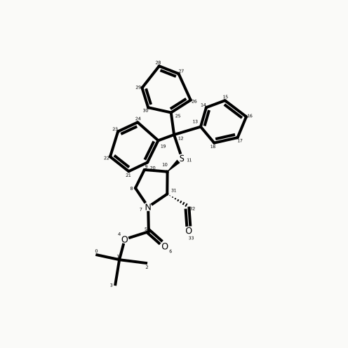 CC(C)(C)OC(=O)N1CC[C@@H](SC(c2ccccc2)(c2ccccc2)c2ccccc2)[C@@H]1C=O